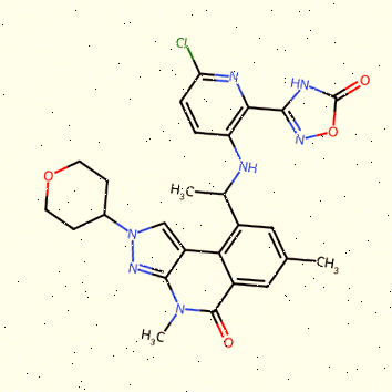 Cc1cc(C(C)Nc2ccc(Cl)nc2-c2noc(=O)[nH]2)c2c(c1)c(=O)n(C)c1nn(C3CCOCC3)cc21